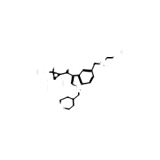 CC1(C)C(C(=O)c2cn(CC3CCOCC3)c3ccc(C(=O)NCCO)cc23)C1(C)C